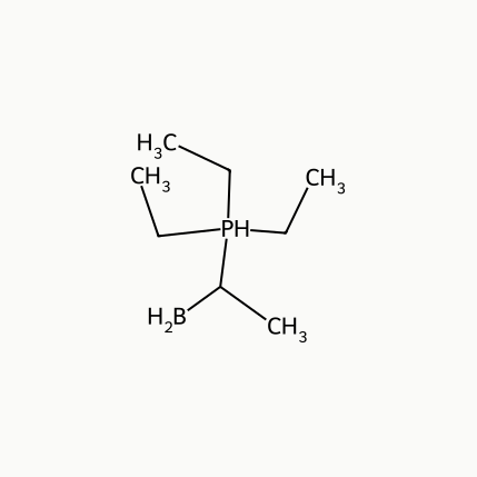 BC(C)[PH](CC)(CC)CC